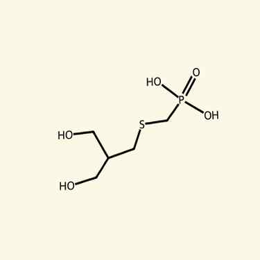 O=P(O)(O)CSCC(CO)CO